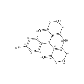 O=C1COCC2=C1C(c1ccc(F)cc1)C1=C(COCC1=O)N2